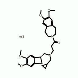 COc1cc2c(cc1OC)CCN(C(=O)CCN(CC1CC1)C[C@H]1Cc3cc(OC)c(OC)cc31)CC2.Cl